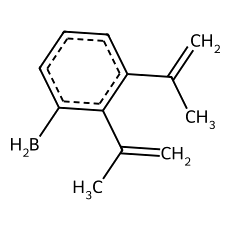 Bc1cccc(C(=C)C)c1C(=C)C